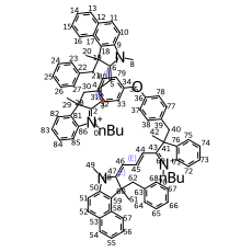 CCCC[N+]1=C(/C=C/C=C2/N(C)c3ccc4ccccc4c3C2(C)Cc2ccccc2)C(C)(Cc2ccc(Oc3ccc(CC4(C)C(/C=C/C=C5/N(C)c6ccc7ccccc7c6C5(C)Cc5ccccc5)=[N+](CCCC)c5ccccc54)cc3)cc2)c2ccccc21